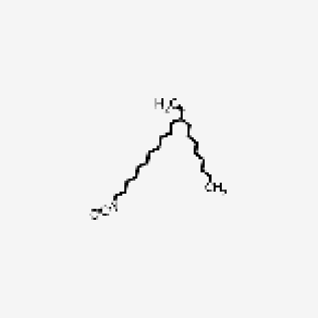 C=CC(CCCCCCCC)CCCCCCCCCCCN=C=O